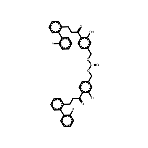 O=C(CCc1ccccc1-c1ccccc1F)c1ccc(CO[N+](=O)OCc2ccc(C(=O)CCc3ccccc3-c3ccccc3F)c(O)c2)cc1O